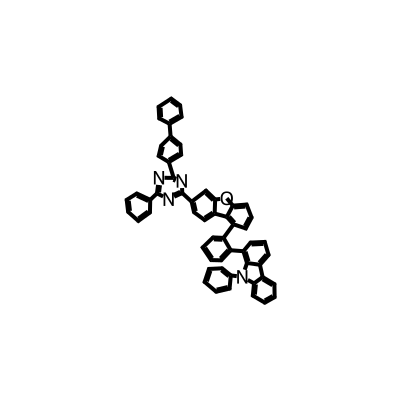 c1ccc(-c2ccc(-c3nc(-c4ccccc4)nc(-c4ccc5c(c4)oc4cccc(-c6ccccc6-c6cccc7c8ccccc8n(-c8ccccc8)c67)c45)n3)cc2)cc1